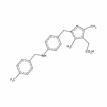 Cc1nn(Cc2ccc(NCc3ccc(C(F)(F)F)cc3)cc2)c(C)c1CC(=O)O